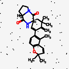 C=C1C(c2ccc3c(c2C)C=CC(C)(C)O3)=C[C@@]2(CC1(C)C)NC(=O)[C@@H]1CCCN1C2=O